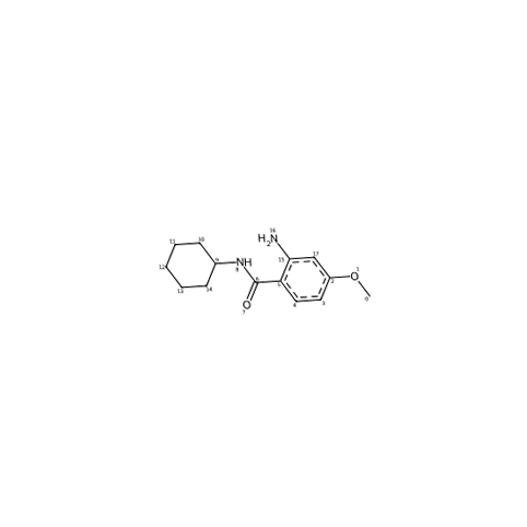 COc1ccc(C(=O)NC2CCCCC2)c(N)c1